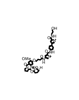 COc1cc2c(cc1OCCCC(=O)Nc1cc(C(=O)Nc3ccc(-c4cc(C(=O)NCCCO)n(C)c4)cc3)n(C)c1)N(C(=O)O)C(OC1CCCCO1)C1CCCN1C2=O